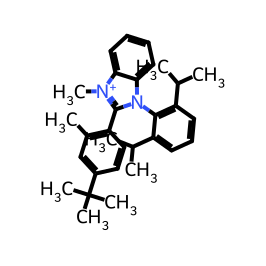 Cc1cc(C(C)(C)C)ccc1-c1n(-c2c(C(C)C)cccc2C(C)C)c2ccccc2[n+]1C